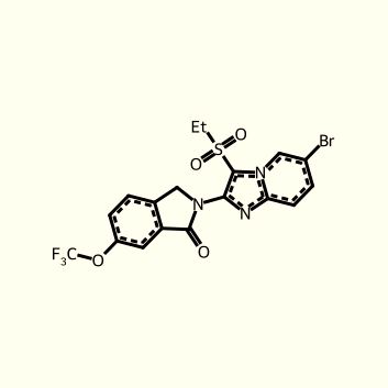 CCS(=O)(=O)c1c(N2Cc3ccc(OC(F)(F)F)cc3C2=O)nc2ccc(Br)cn12